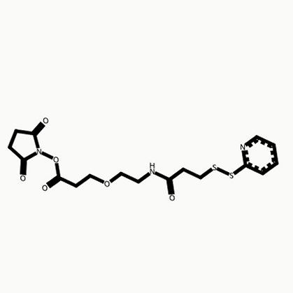 O=C(CCSSc1ccccn1)NCCOCCC(=O)ON1C(=O)CCC1=O